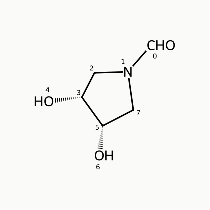 O=CN1C[C@@H](O)[C@@H](O)C1